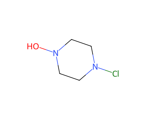 ON1CCN(Cl)CC1